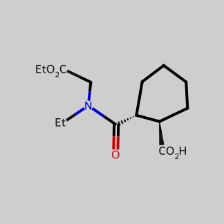 CCOC(=O)CN(CC)C(=O)[C@@H]1CCCC[C@H]1C(=O)O